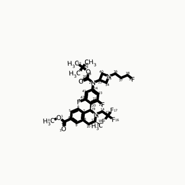 COC(=O)c1ccc2c(c1)C[C@@H](C)N(CC(F)(F)F)[C@@H]2c1c(F)cc(N(C(=O)OC(C)(C)C)C2CN(CCCF)C2)cc1F